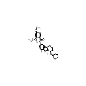 COc1ccc(C(=O)Nc2ccc3[nH]c4c(c3c2)CCCC4NC2CCCCC2)c(OC)c1